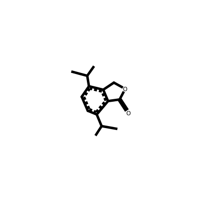 CC(C)c1ccc(C(C)C)c2c1COC2=O